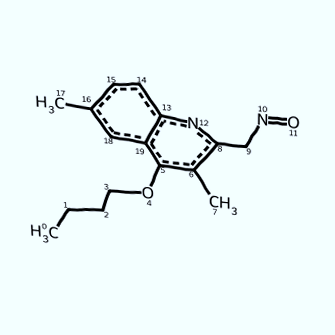 CCCCOc1c(C)c(CN=O)nc2ccc(C)cc12